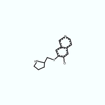 Clc1cc2ccncc2cc1SCC1CCCN1